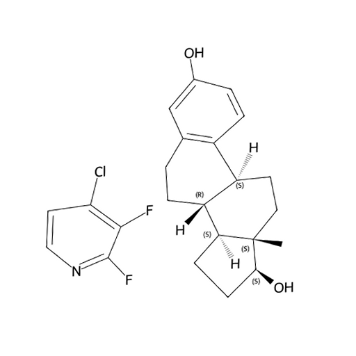 C[C@]12CC[C@@H]3c4ccc(O)cc4CC[C@H]3[C@@H]1CC[C@@H]2O.Fc1nccc(Cl)c1F